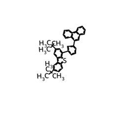 CC(C)(C)c1ccc2sc3c(-c4cccc(-c5cc6ccccc6c6ccccc56)c4)cc(C(C)(C)C)cc3c2c1